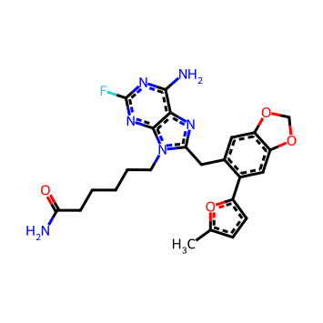 Cc1ccc(-c2cc3c(cc2Cc2nc4c(N)nc(F)nc4n2CCCCCC(N)=O)OCO3)o1